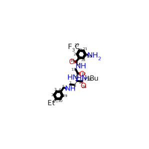 CCc1ccc(CNCC[C@H](NC(=O)CNC(=O)c2cc(N)cc(C(F)(F)F)c2)C(=O)NC(C)(C)C)cc1